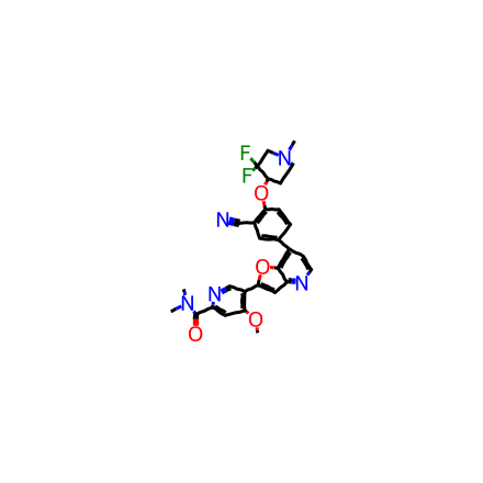 COc1cc(C(=O)N(C)C)ncc1-c1cc2nccc(-c3ccc(OC4CCN(C)CC4(F)F)c(C#N)c3)c2o1